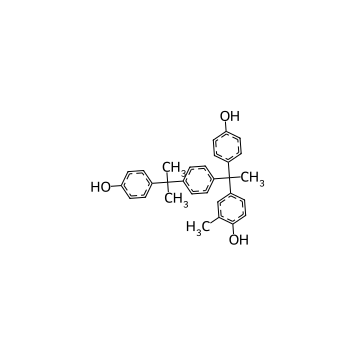 Cc1cc(C(C)(c2ccc(O)cc2)c2ccc(C(C)(C)c3ccc(O)cc3)cc2)ccc1O